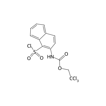 O=C(Nc1ccc2ccccc2c1S(=O)(=O)Cl)OCC(Cl)(Cl)Cl